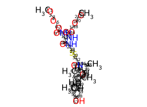 COCCOCCOC(=O)NCC(NC(=O)OCCOCCOC)C(=O)NCCSSCCC(=O)N1C[C@@H](C)C[C@H]2O[C@]3(CC[C@@H]4C(=C3C)C[C@H]3[C@H]4CC=C4C[C@@H](O)CC[C@@]43C)[C@H](C)[C@@H]21